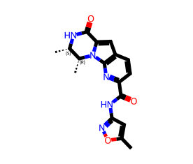 Cc1cc(NC(=O)c2ccc3cc4n(c3n2)[C@H](C)[C@H](C)NC4=O)no1